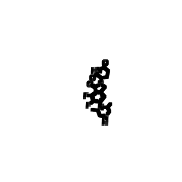 CC1CNCC(C)N1c1cc2c(c(F)c1F)C(=O)N(C1CCC(=O)NC1=O)C2